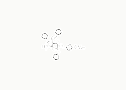 COc1ccc(CO[C@H]2[C@@H](OC(=O)c3ccccc3)[C@@H](OC(=O)c3ccccc3)[C@H](C)O[C@@H]2Sc2ccccc2)cc1